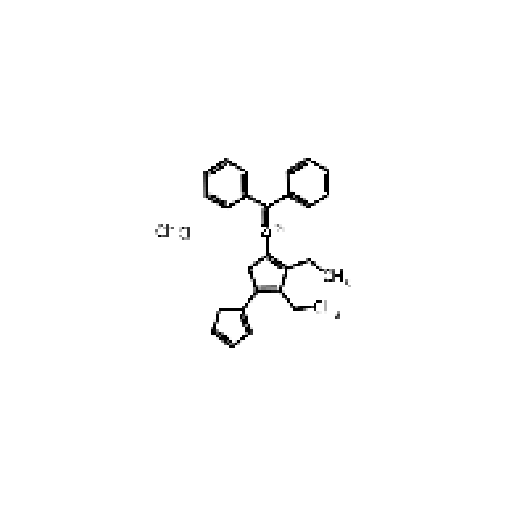 CCC1=[C]([Zr+2]=[C](c2ccccc2)c2ccccc2)CC(C2=CC=CC2)=C1CC.[Cl-].[Cl-]